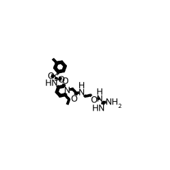 CCc1ccc(NS(=O)(=O)c2cccc(C)c2)c(=O)n1CC(=O)NCCONC(=N)N